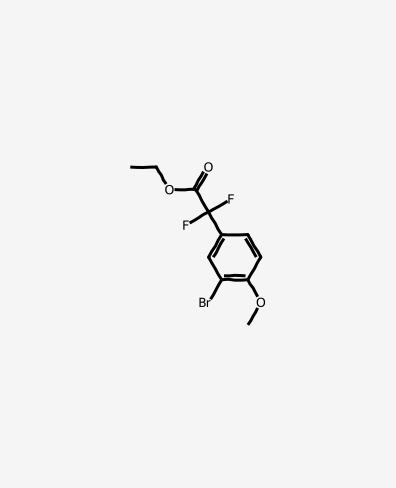 CCOC(=O)C(F)(F)c1ccc(OC)c(Br)c1